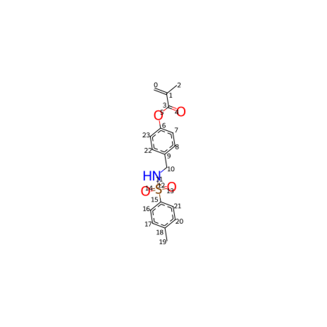 C=C(C)C(=O)Oc1ccc(CNS(=O)(=O)c2ccc(C)cc2)cc1